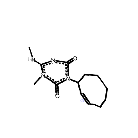 CNc1nc(=O)n(C2/C=C\CCCCC2)c(=O)n1C